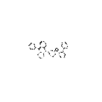 c1ccc(-c2c3ccccc3c(-c3ccc4c(c3)oc3c(-c5ccccc5)cccc34)c3ccccc23)cc1